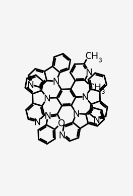 Cc1ccc(-c2c(-n3c4ccccc4c4ccncc43)c(-n3c4ccccc4c4ccncc43)c(-c3nc4ccccc4o3)c(-n3c4ccccc4c4ccncc43)c2-n2c3ccccc3c3ccncc32)c(C)n1